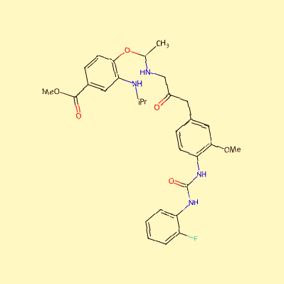 COC(=O)c1ccc(OC(C)NCC(=O)Cc2ccc(NC(=O)Nc3ccccc3F)c(OC)c2)c(NC(C)C)c1